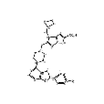 O=C(O)c1cc2c(nc(CN3CCN(c4cccc5c4OC(c4ccc(Cl)cn4)O5)CC3)n2C[C@@H]2CCO2)s1